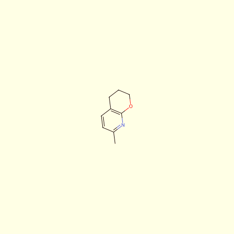 Cc1ccc2c(n1)OCCC2